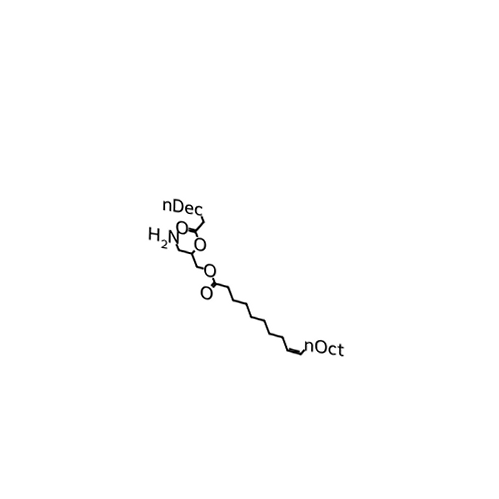 CCCCCCCC/C=C\CCCCCCCC(=O)OCC(CN)OC(=O)CCCCCCCCCCC